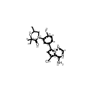 CC1CN(c2cc(-c3cc(Cl)c4c(N)ncnn34)ccc2F)C(=O)C(C)(C)O1